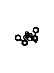 CP(=O)(Oc1ccccc1C1CCCCC1)Oc1ccccc1C1CCCCC1